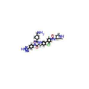 CC1CC(NC(=O)c2ccc(-c3ccc(C[C@H](NC(=O)C4CCC(CN)CC4)C(=O)Nc4ccc(-c5nn[nH]n5)cc4)cc3)c(Cl)c2)CCN1